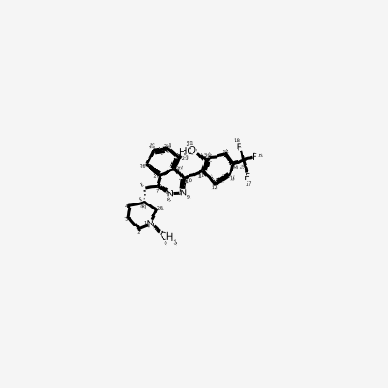 CN1CCC[C@H](Cc2nnc(-c3ccc(C(F)(F)F)cc3O)c3ccccc23)C1